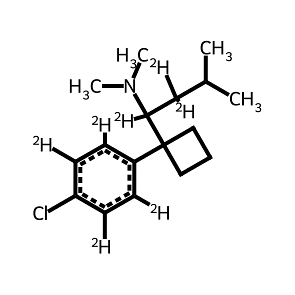 [2H]c1c([2H])c(C2(C([2H])(N(C)C)C([2H])([2H])C(C)C)CCC2)c([2H])c([2H])c1Cl